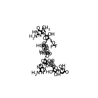 CO[C@@H]1[C@H](OP(=O)(O)OC[C@H]2O[C@@H](n3ccc(=O)[nH]c3=O)[C@H](O)[C@@H]2O)[C@@H](COP(=O)(O)OP(=O)(O)OP(=O)(O)OC[C@H]2O[C@@H](n3c[n+](C)c4c(=O)[nH]c(N)nc43)[C@H](O)[C@@H]2CCOC(F)F)O[C@H]1n1cnc2c(N)ncnc21